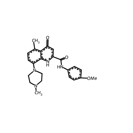 COc1ccc(NC(=O)c2cc(=O)c3c(C)ccc(N4CCN(C)CC4)c3[nH]2)cc1